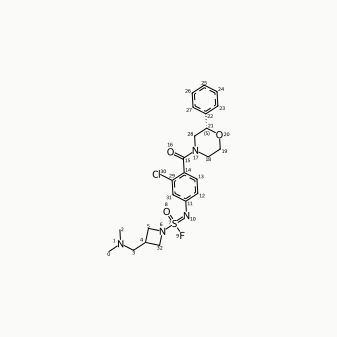 CN(C)CC1CN(S(=O)(F)=Nc2ccc(C(=O)N3CCO[C@@H](c4ccccc4)C3)c(Cl)c2)C1